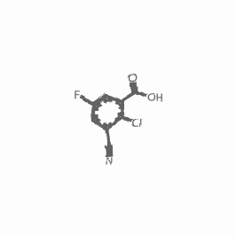 N#Cc1cc(F)cc(C(=O)O)c1Cl